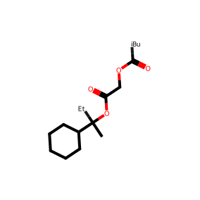 CCC(C)C(=O)OCC(=O)OC(C)(CC)C1CCCCC1